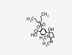 CCCN(CCC)S(=O)(=O)c1cc(C2(O)CSC(=NC)N2C)ccc1Cl.Cl